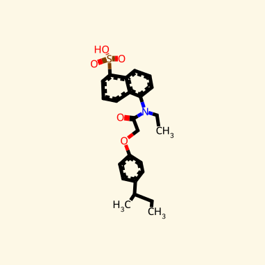 CCC(C)c1ccc(OCC(=O)N(CC)c2cccc3c(S(=O)(=O)O)cccc23)cc1